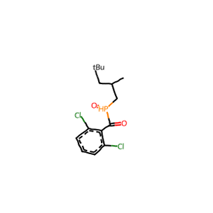 CC(C[PH](=O)C(=O)c1c(Cl)cccc1Cl)CC(C)(C)C